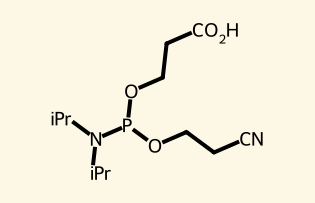 CC(C)N(C(C)C)P(OCCC#N)OCCC(=O)O